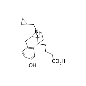 C[C@H]1C2Cc3ccc(O)cc3[C@@]1(CCCC(=O)O)CCN2CC1CC1